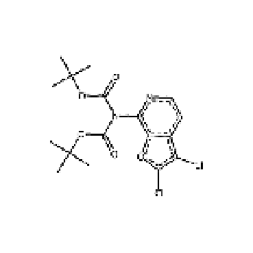 CC(C)(C)OC(=O)N(C(=O)OC(C)(C)C)c1nccc2c(Cl)c(Cl)oc12